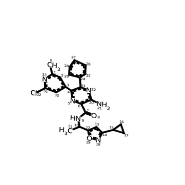 Cc1cc(-c2nc(C(=O)NC(C)c3cc(C4CC4)no3)c(N)nc2-c2ccccc2)cc(Cl)n1